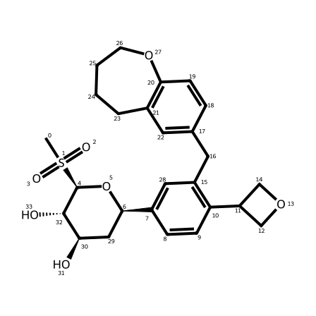 CS(=O)(=O)[C@H]1O[C@@H](c2ccc(C3COC3)c(Cc3ccc4c(c3)CCCCO4)c2)C[C@@H](O)[C@@H]1O